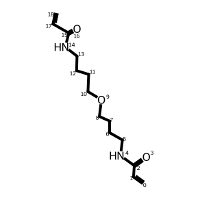 C=CC(=O)NCCCCOCCCCNC(=O)C=C